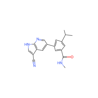 CNC(=O)c1cc(-c2cnc3[nH]cc(C#N)c3c2)cc(C(C)C)c1